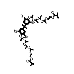 C=C(C)C(=O)OCCOC(C)OC(C)OC(C)OC(C)Oc1c(Br)cc(C(C)(C)c2cc(Br)c(OC(C)OC(C)OC(C)OC(C)OCCOC(=O)C(=C)C)c(Br)c2)cc1Br